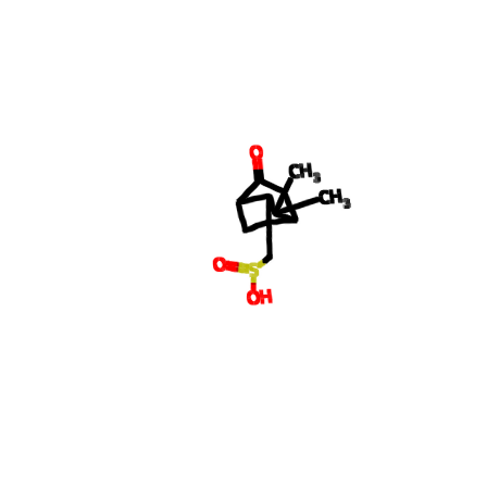 CC1(C)C2CC(=O)C3CC2(CS(=O)O)C31